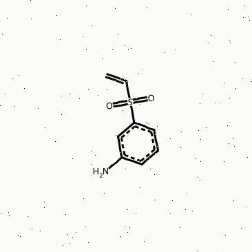 C=CS(=O)(=O)c1cccc(N)c1